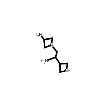 NC1CN(CC(N)C2CNC2)C1